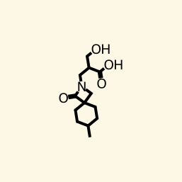 CC1CCC2(CC1)CN(CC(CO)C(=O)O)C2=O